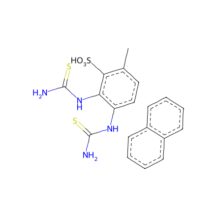 Cc1ccc(NC(N)=S)c(NC(N)=S)c1S(=O)(=O)O.c1ccc2ccccc2c1